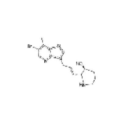 Cc1c(Br)cnc2c1ncn2C/C=C/[C@H]1NCCC[C@@H]1O